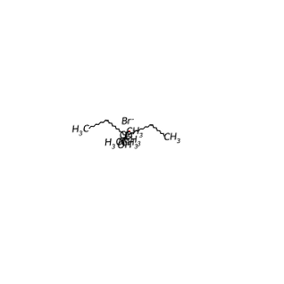 CCCCCCCC/C=C\CCCCCCCCOC(CC)(OCCCCCCCC/C=C\CCCCCCCC)C(C)C[N+](C)(C)O.[Br-]